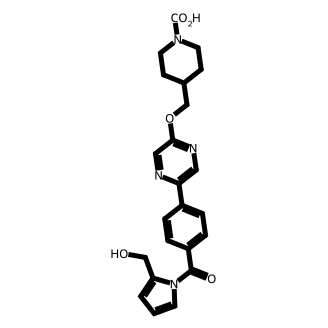 O=C(O)N1CCC(COc2cnc(-c3ccc(C(=O)n4cccc4CO)cc3)cn2)CC1